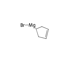 [Br][Mg][CH]1CC=CC1